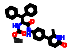 Cc1[nH]c(=O)ccc1-c1ccc(NC(=O)[C@@H](NC(=O)OC(C)(C)C)C(c2ccccc2)c2ccccc2)cc1